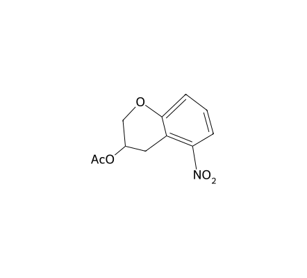 CC(=O)OC1COc2cccc([N+](=O)[O-])c2C1